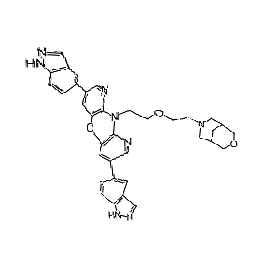 c1cc2[nH]ncc2cc1-c1cnc2c(c1)Oc1cc(-c3ccc4[nH]ncc4c3)cnc1N2CCOCCN1CC2COCC(C2)C1